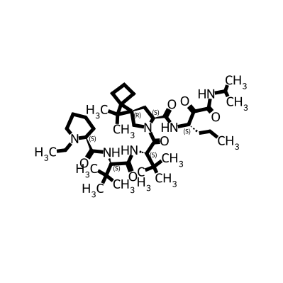 CCC[C@H](NC(=O)[C@@H]1C[C@@]2(CN1C(=O)[C@@H](NC(=O)[C@@H](NC(=O)[C@@H]1CCCCN1CC)C(C)(C)C)C(C)(C)C)C(C)(C)C21CCC1)C(=O)C(=O)NC(C)C